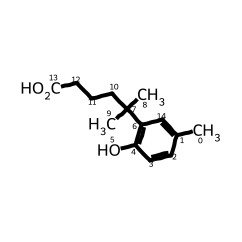 Cc1ccc(O)c(C(C)(C)CCCC(=O)O)c1